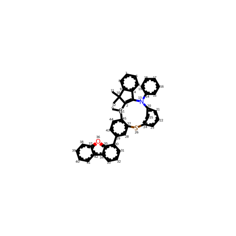 CB1C2=C(c3ccccc3C2(C)C)N(c2ccccc2)c2cccc(c2)Sc2cc(-c3cccc4c3oc3ccccc34)ccc21